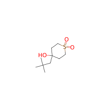 CC(C)(C)CC1(O)CCS(=O)(=O)CC1